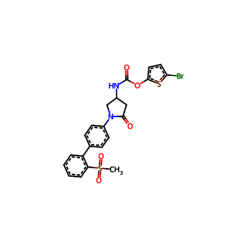 CS(=O)(=O)c1ccccc1-c1ccc(N2CC(NC(=O)Oc3ccc(Br)s3)CC2=O)cc1